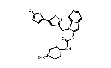 O=CN1CCC(NC(=O)Oc2cc3ccccc3n2Cc2cc(-c3ccc(Cl)s3)on2)CC1